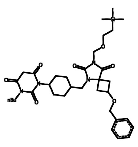 CCCCN1C(=O)CC(=O)N(C2CCC(CN3C(=O)N(COCC[Si](C)(C)C)C(=O)C34CC(OCc3ccccc3)C4)CC2)C1=O